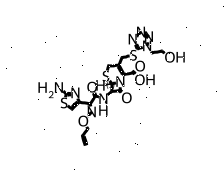 C=CCON=C(C(=O)NC1C(=O)N2C(C(=O)O)=C(CSc3nnnn3CCO)CS[C@@H]12)c1csc(N)n1